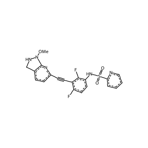 CON1NCc2ccc(C#Cc3c(F)ccc(NS(=O)(=O)c4ccccn4)c3F)nc21